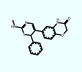 CNC1=NC=C(c2ccc3c(c2)NC(=O)CO3)C(c2ccccc2)S1